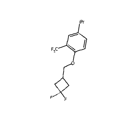 CC(C)c1ccc(OCC2CC(F)(F)C2)c(C(F)(F)F)c1